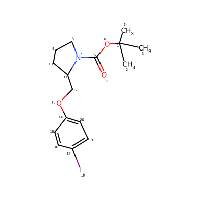 CC(C)(C)OC(=O)N1CCCC1COc1ccc(I)cc1